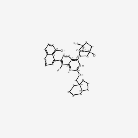 Fc1c(-c2cccc3cccc(Cl)c23)ncc2c(N3C[C@H]4CC[C@@H](C3)N4)nc(OCC34CCCCN3CCC4)nc12